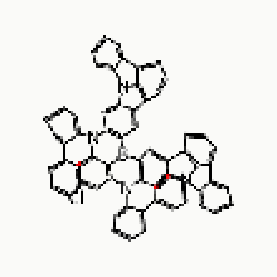 Clc1cc2c3c(c1)N(c1ccccc1-c1ccccc1)c1cc4c(cc1B3c1cc3c5cccc6c7ccccc7n(c3cc1N2c1ccccc1-c1ccccc1)c65)c1cccc2c3ccccc3n4c21